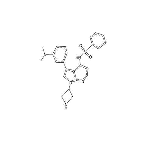 CN(C)c1cccc(-c2cn(C3CNC3)c3nccc(NS(=O)(=O)c4ccccc4)c23)c1